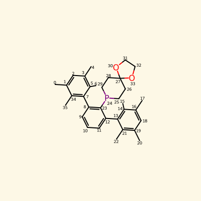 Cc1cc(C)c(C)c(-c2cccc(-c3c(C)c(C)cc(C)c3C)c2P2CCC3(CC2)OCCO3)c1C